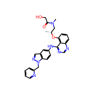 C[C@H](CN(C)C(=O)CO)Oc1cccc2ncnc(Nc3ccc4c(cnn4Cc4ccccn4)c3)c12